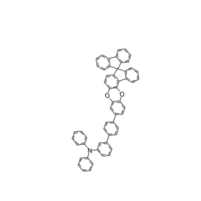 c1ccc(N(c2ccccc2)c2cccc(-c3ccc(-c4ccc5c(c4)Oc4ccc6c(c4O5)-c4ccccc4C64c5ccccc5-c5ccccc54)cc3)c2)cc1